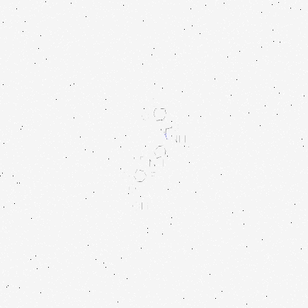 CCOC(=O)C(Nc1ccc(/C(N)=N/C(=O)c2ccc(OC)c(OC)c2)cc1)c1cc(OCC)c(OCCO)cc1F